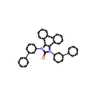 O=c1n(-c2cccc(-c3ccccc3)c2)c2c3ccccc3c3ccccc3c2n1-c1cccc(-c2ccccc2)c1